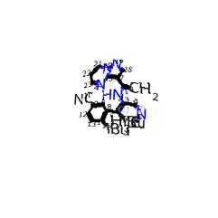 C=C(NC(/C=N\C)=C(\c1cc(C#N)ccc1C(C)CC)C(C)CC)c1cnn2cccnc12